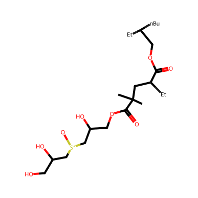 CCCCC(CC)COC(=O)C(CC)CC(C)(C)C(=O)OCC(O)C[S+]([O-])CC(O)CO